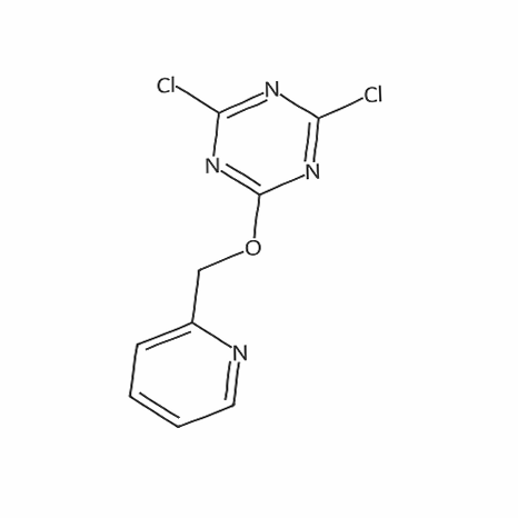 Clc1nc(Cl)nc(OCc2ccccn2)n1